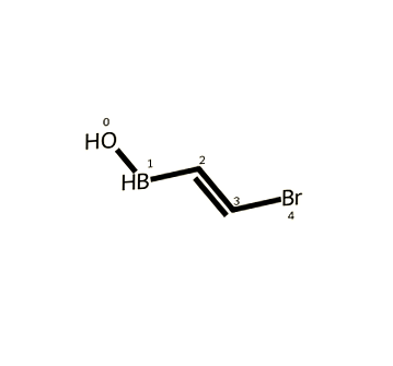 OB/C=C/Br